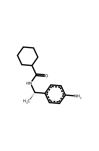 C[C@H](NC(=O)C1CCCCC1)c1ccc(N)cc1